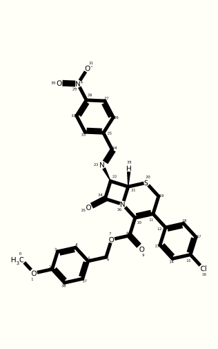 COc1ccc(COC(=O)C2=C(c3ccc(Cl)cc3)CS[C@H]3[C@H](N=Cc4ccc([N+](=O)[O-])cc4)C(=O)N23)cc1